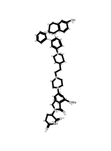 COc1cc(N2CCN(CCC3CCN(c4ccc([C@H]5c6ccc(O)cc6CC[C@H]5c5ccccc5)cc4)CC3)CC2)cc2c1C(=O)N(C1CCC(=O)NC1=O)C2